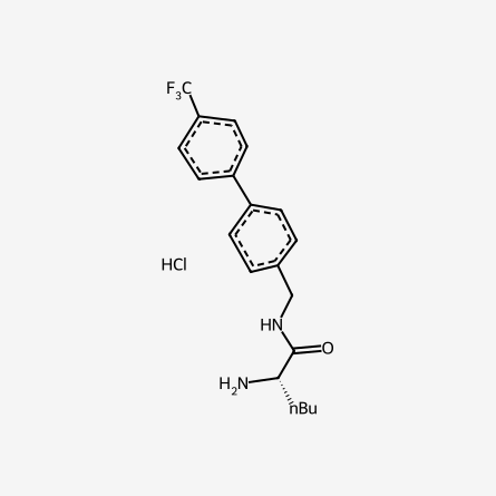 CCCC[C@H](N)C(=O)NCc1ccc(-c2ccc(C(F)(F)F)cc2)cc1.Cl